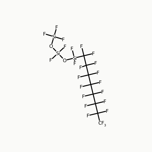 FC(F)(F)C(F)(F)C(F)(F)C(F)(F)C(F)(F)C(F)(F)C(F)(F)C(F)(F)[Si](F)(F)O[Si](F)(F)O[Si](F)(F)F